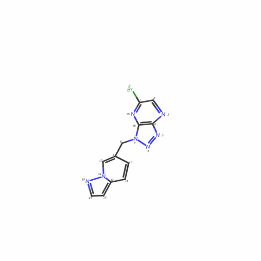 Brc1cnc2nnn(Cc3ccc4ccnn4c3)c2n1